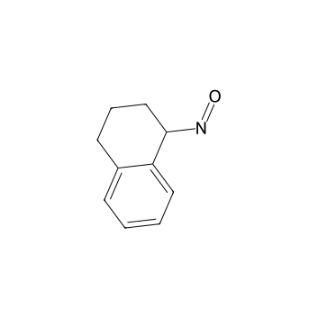 O=NC1CCCc2ccccc21